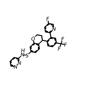 Fc1ccc(-c2cc(C(F)(F)F)ccc2C2CCOc3cc(SNc4cccnn4)ccc32)nc1